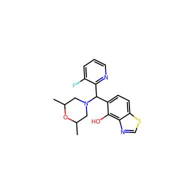 CC1CN(C(c2ccc3scnc3c2O)c2ncccc2F)CC(C)O1